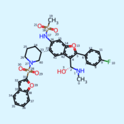 CN[C@H](O)c1c(-c2ccc(F)cc2)oc2cc(NS(C)(=O)=O)c([C@H]3CCCN(S(=O)(=O)c4cc5ccccc5o4)C3)cc12